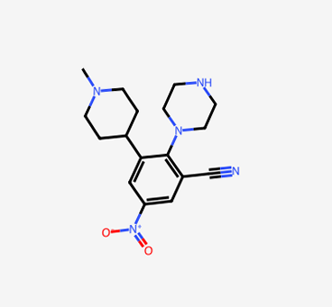 CN1CCC(c2cc([N+](=O)[O-])cc(C#N)c2N2CCNCC2)CC1